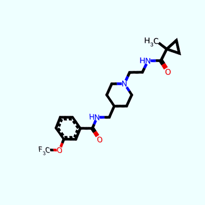 CC1(C(=O)NCCN2CCC(CNC(=O)c3cccc(OC(F)(F)F)c3)CC2)CC1